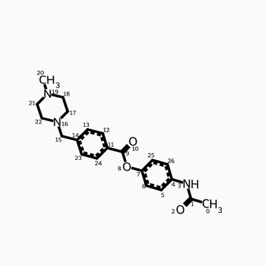 CC(=O)Nc1ccc(OC(=O)c2ccc(CN3CCN(C)CC3)cc2)cc1